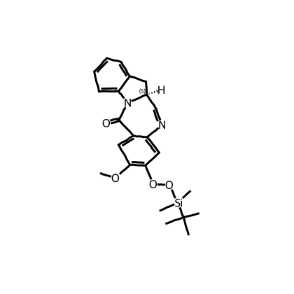 COc1cc2c(cc1OO[Si](C)(C)C(C)(C)C)N=C[C@@H]1Cc3ccccc3N1C2=O